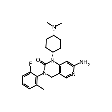 Cc1cccc(F)c1N1Cc2cnc(N)cc2N([C@H]2CC[C@@H](N(C)C)CC2)C1=O